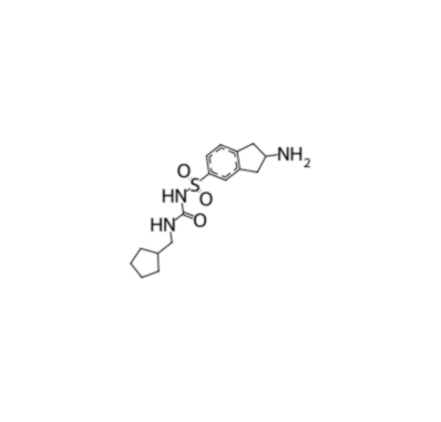 NC1Cc2ccc(S(=O)(=O)NC(=O)NCC3CCCC3)cc2C1